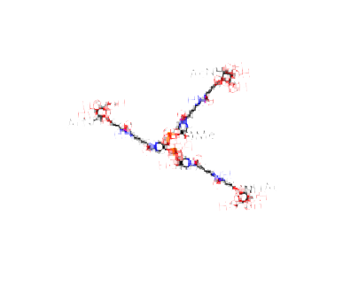 COCC1(COP(=O)(O)OCC2(COP(=O)(O)OCC3(CO)CCN(C(=O)CCCCCNC(=O)CCCCO[C@@H]4O[C@H](CO)[C@H](O)[C@H](O)[C@H]4NC(C)=O)CC3)CCN(C(=O)CCCCCNC(=O)CCCCO[C@@H]3O[C@H](CO)[C@H](O)[C@H](O)[C@H]3NC(C)=O)CC2)CCN(C(=O)CCCCCNC(=O)CCCCO[C@@H]2O[C@H](CO)[C@H](O)[C@H](O)[C@H]2NC(C)=O)CC1